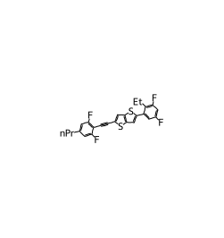 CCCc1cc(F)c(C#Cc2cc3sc(-c4cc(F)cc(F)c4CC)cc3s2)c(F)c1